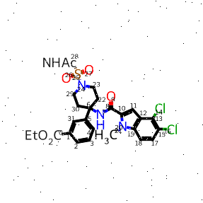 CCOC(=O)c1cccc(C2(NC(=O)c3cc4c(Cl)c(Cl)ccc4n3C)CCN(S(=O)(=O)NC(C)=O)CC2)c1